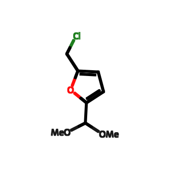 COC(OC)c1ccc(CCl)o1